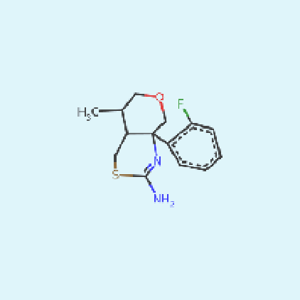 CC1COCC2(c3ccccc3F)N=C(N)SCC12